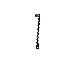 O=CSCCCCCCCCCCCCCCCCO